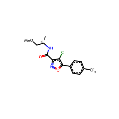 COC[C@H](C)NC(=O)c1noc(-c2ccc(C(F)(F)F)cc2)c1Cl